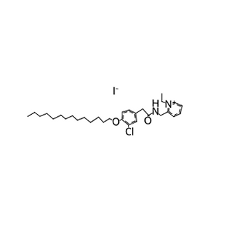 CCCCCCCCCCCCCCOc1ccc(CC(=O)NCc2cccc[n+]2CC)cc1Cl.[I-]